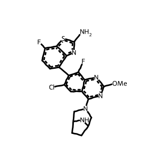 COc1nc(N2CC3CCC(C2)N3)c2cc(Cl)c(-c3ccc(F)c4sc(N)nc34)c(F)c2n1